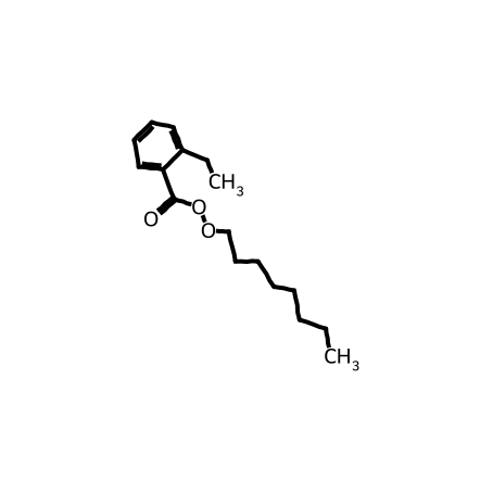 CCCCCCCCOOC(=O)c1ccccc1CC